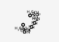 CN(C)[C@@H](C(=O)N1CCC[C@H]1c1ncc(-c2cnc(-c3cnc(-c4cnc([C@@H]5CCCN5C(=O)[C@@H](c5ccccc5)N(C)C)[nH]4)cn3)cn2)[nH]1)c1ccccc1